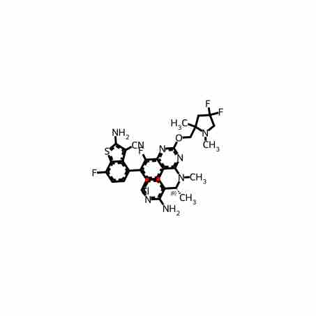 C[C@H](c1cccnc1N)N(C)c1nc(OCC2(C)CC(F)(F)CN2C)nc2c(F)c(-c3ccc(F)c4sc(N)c(C#N)c34)c(Cl)cc12